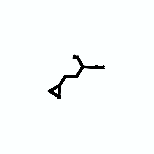 CCCCCC(CCC1CO1)C(C)=O